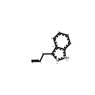 C=C[CH]c1n[nH]c2ccccc12